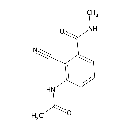 CNC(=O)c1cccc(NC(C)=O)c1C#N